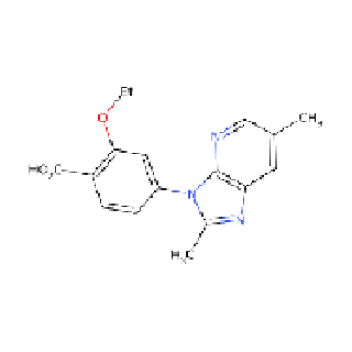 CCOc1cc(-n2c(C)nc3cc(C)cnc32)ccc1C(=O)O